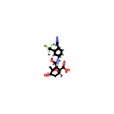 CC12O[C@](C)(CC1O)[C@H](C(=O)O)[C@@H]2C(=O)Nc1ccc(C#N)c(C(F)(F)F)c1